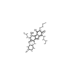 CCCCn1c(=O)c2c(nc3n(Cc4ccc(F)cc4)c(=O)c(CCC)c(O)n23)n(CCCC)c1=O